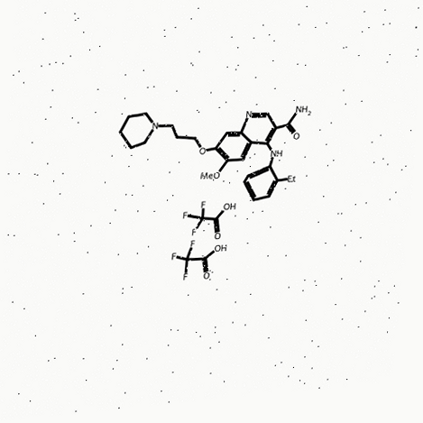 CCc1ccccc1Nc1c(C(N)=O)cnc2cc(OCCCN3CCCCC3)c(OC)cc12.O=C(O)C(F)(F)F.O=C(O)C(F)(F)F